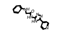 O=C(CNc1ccccc1)Nc1nnc(-c2ccncc2)[nH]1